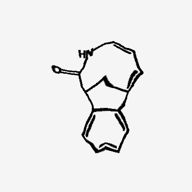 O=C1NC=CC=C2CC1c1ccccc12